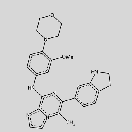 COc1cc(Nc2nc(-c3ccc4c(c3)NCC4)c(C)n3ccnc23)ccc1N1CCOCC1